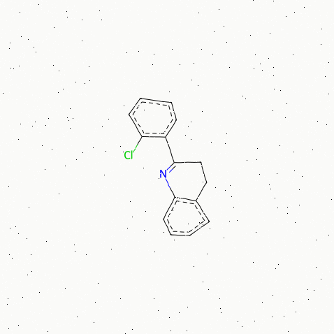 Clc1ccccc1C1=Nc2ccccc2CC1